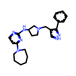 c1ccc(-c2n[nH]cc2CN2CCC(Nc3nccc(N4CCCCCC4)n3)C2)cc1